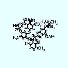 COc1cc(OC)n2nc(S(=O)(=O)Nc3c(Cl)ccc(C)c3Cl)nc2n1.C[S+](C)C.O=C(O)CNCP(=O)([O-])O.O=C(O)c1cc(Oc2ccc(C(F)(F)F)cc2Cl)ccc1[N+](=O)[O-]